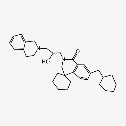 O=C1c2cc(CC3CCCCC3)ccc2C2(CCCCC2)CN1CC(O)CN1CCc2ccccc2C1